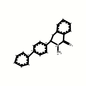 O=C1c2ccccc2CC(c2ccc(-c3ccccc3)cc2)N1P